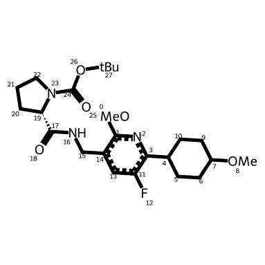 COc1nc(C2CCC(OC)CC2)c(F)cc1CNC(=O)[C@@H]1CCCN1C(=O)OC(C)(C)C